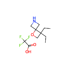 CCC1(CC)COC12CNC2.O=C(O)C(F)(F)F